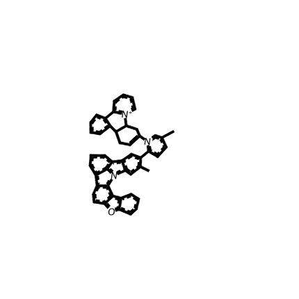 Cc1ccc(-c2cc3c4cccc5c6ccc7oc8ccccc8c7c6n(c3cc2C)c45)[n+](C2=CCC3c4ccccc4-c4cccc[n+]4C3C2)c1